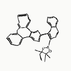 CC1(C)OB(c2ccc3ccccc3c2-c2ccc3c4ccccc4c4ccccc4c3c2)OC1(C)C